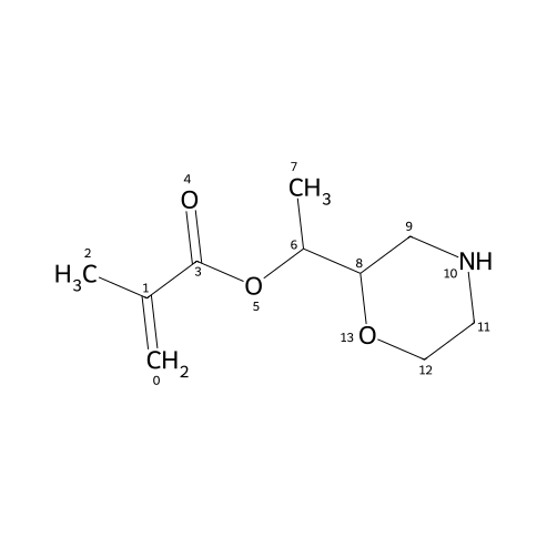 C=C(C)C(=O)OC(C)C1CNCCO1